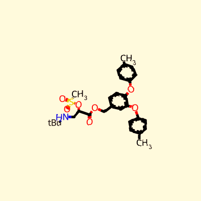 Cc1ccc(Oc2ccc(COC(=O)C(CNC(C)(C)C)OS(C)(=O)=O)cc2Oc2ccc(C)cc2)cc1